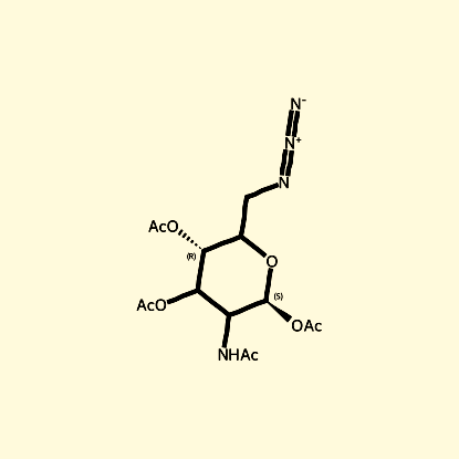 CC(=O)NC1C(OC(C)=O)[C@H](OC(C)=O)C(CN=[N+]=[N-])O[C@H]1OC(C)=O